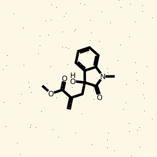 C=C(CC1(O)C(=O)N(C)c2ccccc21)C(=O)OC